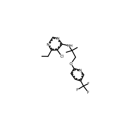 CCc1ncnc(NC(C)(C)COc2ccc(C(F)(F)F)cn2)c1Cl